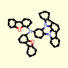 c1ccc2c(c1)oc1c(N(c3ccc4c(c3)n3c5ccccc5c5ccc6c7ccccc7n4c6c53)c3cccc4c3oc3ccccc34)cccc12